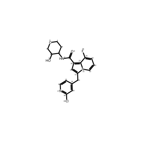 O=C(NC1CCOCC1O)c1cc(Cc2ccnc(Cl)c2)n2cccc(F)c12